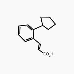 O=C(O)C=Cc1ccccc1C1CCCC1